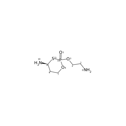 NCCOP1(=O)OCC[C@@H](N)S1